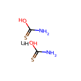 NC(O)=S.NC(O)=S.[LiH]